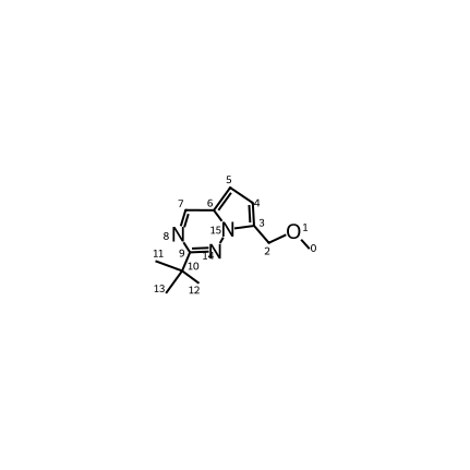 COCc1ccc2cnc(C(C)(C)C)nn12